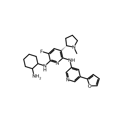 CN1CCC[C@H]1c1cc(F)c(NC2CCCCC2N)nc1Nc1cncc(-c2ccco2)c1